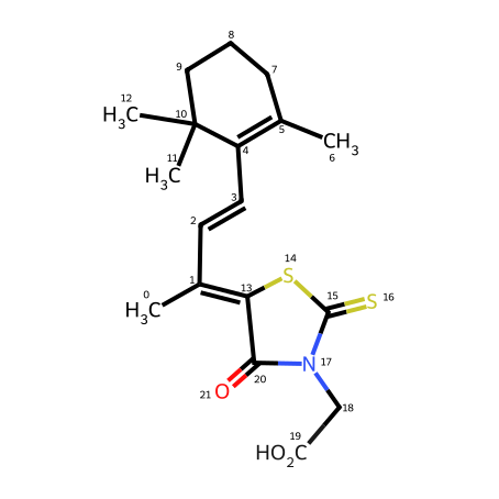 CC(C=CC1=C(C)CCCC1(C)C)=C1SC(=S)N(CC(=O)O)C1=O